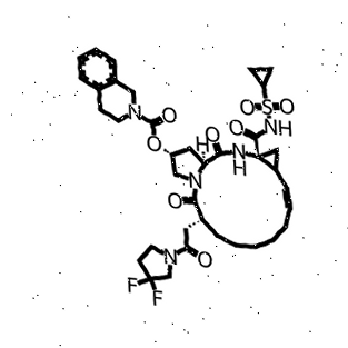 O=C1N[C@]2(C(=O)NS(=O)(=O)C3CC3)CC2/C=C\CCCCC[C@H](CC(=O)N2CCC(F)(F)C2)C(=O)N2C[C@H](OC(=O)N3CCc4ccccc4C3)C[C@@H]12